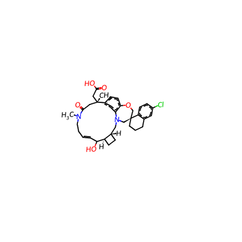 CN1CC/C=C/C(O)[C@@H]2CC[C@H]2CN2C[C@@]3(CCCc4cc(Cl)ccc43)COc3ccc(cc32)[C@@](C)(CC(=O)O)CC1=O